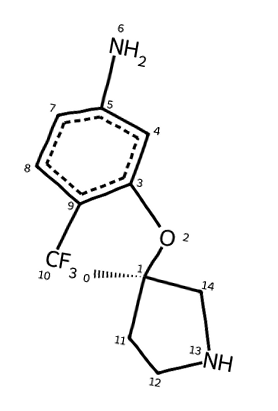 C[C@@]1(Oc2cc(N)ccc2C(F)(F)F)CCNC1